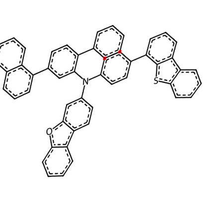 c1ccc(-c2ccc(-c3cccc4ccccc34)cc2N(c2ccc(-c3cccc4c3sc3ccccc34)cc2)c2ccc3c(c2)oc2ccccc23)cc1